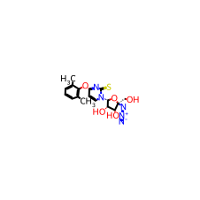 Cc1cccc(C)c1Oc1ccn([C@@H]2O[C@@](CO)(N=[N+]=[N-])C(O)[C@@H]2O)c(=S)n1